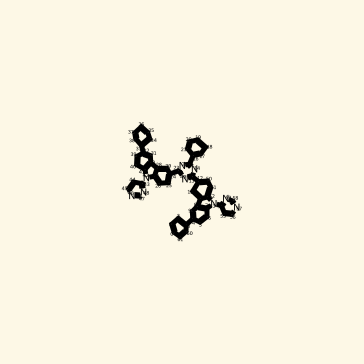 c1ccc(-c2ccc3c(c2)c2cc(-c4nc(-c5ccccc5)nc(-c5ccc6c(c5)c5cc(-c7ccccc7)ccc5n6-c5ccncn5)n4)ccc2n3-c2ccncn2)cc1